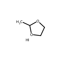 CC1OCCO1.I